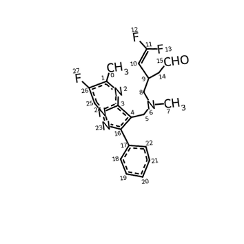 Cc1nc2c(CN(C)CC(C=C(F)F)CC=O)c(-c3ccccc3)nn2cc1F